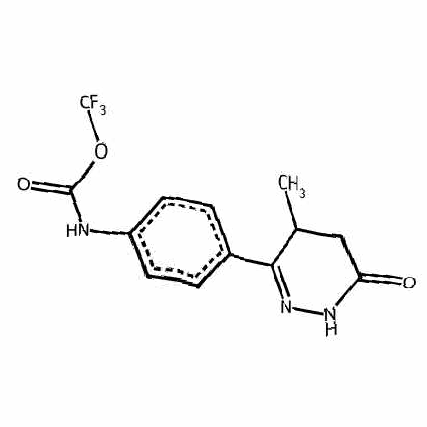 CC1CC(=O)NN=C1c1ccc(NC(=O)OC(F)(F)F)cc1